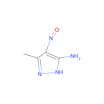 Cc1n[nH]c(N)c1N=O